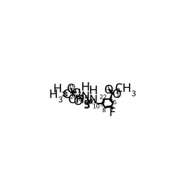 COC(=O)c1cc(F)cc(CNC(=S)NC(=O)OC(C)(C)C)c1